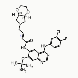 BC(B)(B)Oc1cc2ncnc(Nc3ccc(F)c(Cl)c3)c2cc1NC(=O)/C=C/CN1C[C@@H]2OCCO[C@@H]2C1